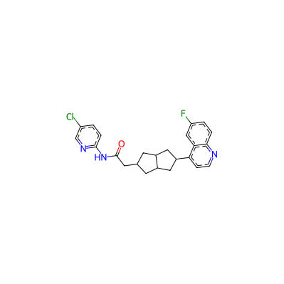 O=C(CC1CC2CC(c3ccnc4ccc(F)cc34)CC2C1)Nc1ccc(Cl)cn1